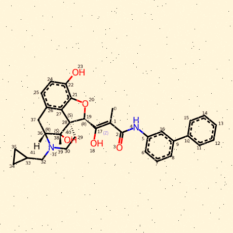 C/C(C(=O)Nc1cccc(-c2ccccc2)c1)=C(/O)[C@@H]1Oc2c(O)ccc3c2[C@@]12CCN(CC1CC1)[C@H](C3)[C@@]2(C)O